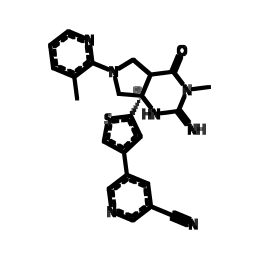 Cc1cccnc1N1CC2C(=O)N(C)C(=N)N[C@@]2(c2cc(-c3cncc(C#N)c3)cs2)C1